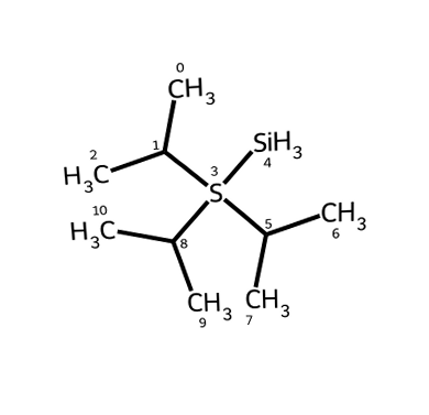 CC(C)S([SiH3])(C(C)C)C(C)C